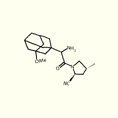 COC12CC3CC(C1)CC(C(N)C(=O)N1C[C@H](C)C[C@H]1C#N)(C3)C2